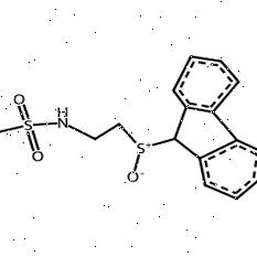 CS(=O)(=O)NCC[S+]([O-])C1c2ccccc2-c2ccccc21